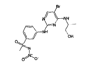 C[C@H](CO)Nc1nc(Nc2cccc(S(C)(=O)=N[N+](=O)[O-])c2)ncc1Br